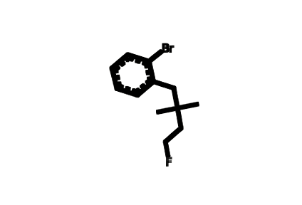 CC(C)(CCF)Cc1ccccc1Br